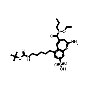 CCCN(OCC)C(=O)C1=Cc2c(CCCCCNC(=O)OC(C)(C)C)cc(S(=O)(=O)O)cc2N=C(N)C1